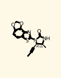 CC#C[C@@H]1[C@H](C)NC(=O)N1c1nc2c3c(ccc2s1)OCO3